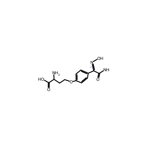 [NH]C(=O)/C(=N\O)c1ccc(OCCC(N)C(=O)O)cc1